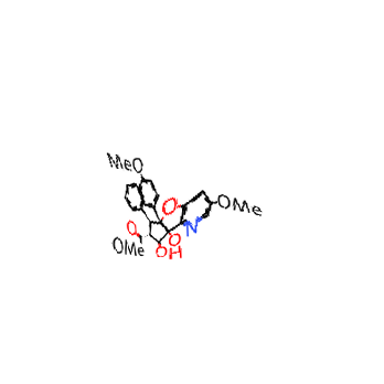 COC(=O)[C@H]1C(=O)[C@@]2(O)c3ncc(OC)cc3O[C@@]2(c2ccc(OC)cc2)[C@@H]1c1ccccc1